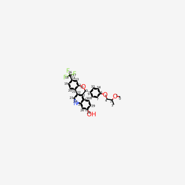 COC(C)COc1ccc([C@H]2Oc3cc(C(F)(F)F)ccc3-c3cnc4cc(O)ccc4c32)cc1